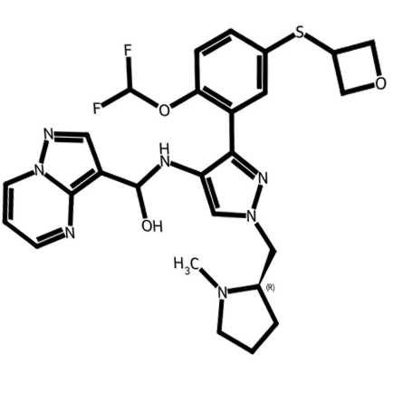 CN1CCC[C@@H]1Cn1cc(NC(O)c2cnn3cccnc23)c(-c2cc(SC3COC3)ccc2OC(F)F)n1